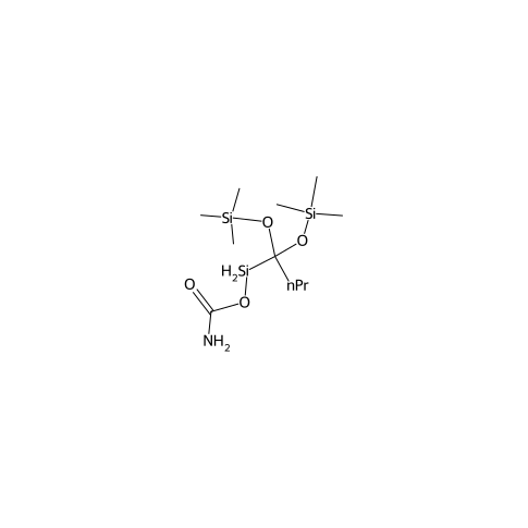 CCCC(O[Si](C)(C)C)(O[Si](C)(C)C)[SiH2]OC(N)=O